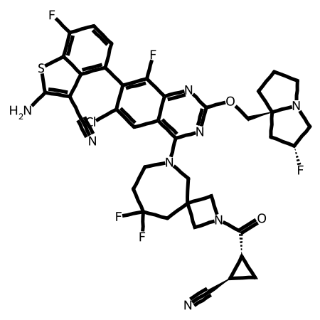 N#Cc1c(N)sc2c(F)ccc(-c3c(Cl)cc4c(N5CCC(F)(F)CC6(CN(C(=O)[C@@H]7C[C@H]7C#N)C6)C5)nc(OC[C@@]56CCCN5C[C@H](F)C6)nc4c3F)c12